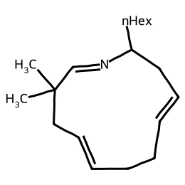 CCCCCCC1C/C=C/CC/C=C/CC(C)(C)/C=N/1